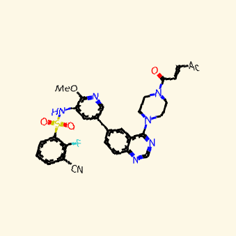 COc1ncc(-c2ccc3ncnc(N4CCN(C(=O)C=CC(C)=O)CC4)c3c2)cc1NS(=O)(=O)c1cccc(C#N)c1F